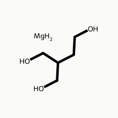 OCCC(CO)CO.[MgH2]